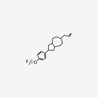 C=CCC1CCC2CC(c3ccc(OC(F)(F)F)cc3)CC2CC1